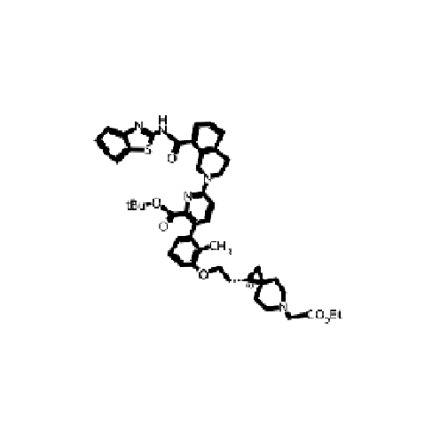 CCOC(=O)CN1CCC2(CC1)C[C@H]2CCOc1cccc(-c2ccc(N3CCc4cccc(C(=O)Nc5nc6ccccc6s5)c4C3)nc2C(=O)OC(C)(C)C)c1C